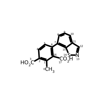 Cc1c(C(=O)O)ccc(-c2cccc3cnsc23)c1C(=O)O